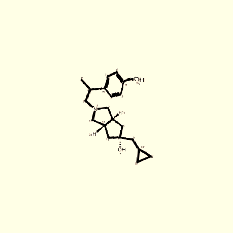 CC(CN1C[C@@H]2C[C@@](O)(CC3CC3)C[C@@H]2C1)c1ccc(O)cc1